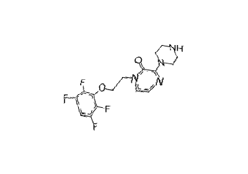 O=c1c(N2CCNCC2)nccn1CCOc1c(F)c(F)cc(F)c1F